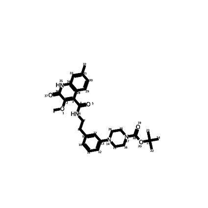 COc1c(C(=O)NCCc2cccc(N3CCN(C(=O)OC(C)(C)C)CC3)c2)c2ccc(C)cc2[nH]c1=O